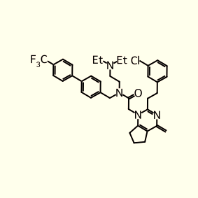 C=C1N=C(CCc2cccc(Cl)c2)N(CC(=O)N(CCN(CC)CC)Cc2ccc(-c3ccc(C(F)(F)F)cc3)cc2)C2=C1CCC2